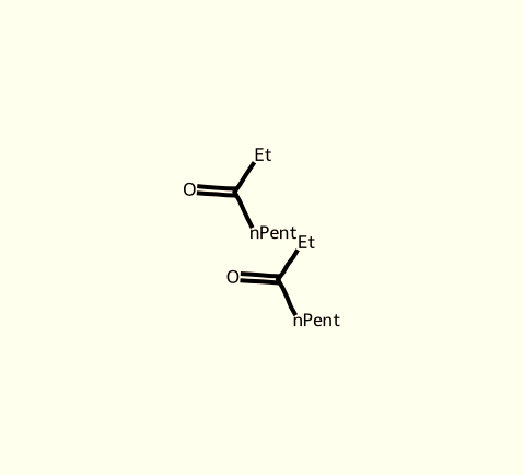 CCCCCC(=O)CC.CCCCCC(=O)CC